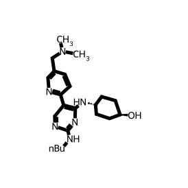 CCCCNc1ncc(-c2ccc(CN(C)C)cn2)c(N[C@H]2CC[C@H](O)CC2)n1